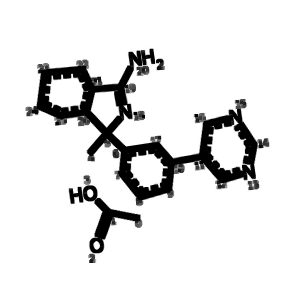 CC(=O)O.CC1(c2cccc(-c3cncnc3)c2)N=C(N)c2ccccc21